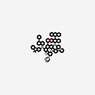 CC1(C)c2ccccc2-c2cc(N(c3cccc4c(-c5ccccc5)cccc34)c3cc4oc5c(N6C=NN=CC6)cccc5c4c4c3cc(-c3ccccc3)c3cc(N(c5ccccc5)c5c6ccccc6c(-c6c7ccccc7cc7ccccc67)c6ccccc56)c5c6cc(-c7ccccn7)ccc6oc5c34)ccc21